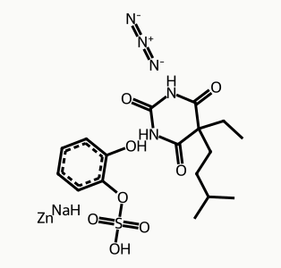 CCC1(CCC(C)C)C(=O)NC(=O)NC1=O.O=S(=O)(O)Oc1ccccc1O.[N-]=[N+]=[N-].[NaH].[Zn]